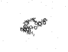 COCCOc1nc(N)c2nc(OC)n(CC3CCN(CCCN(C)CCOc4cccc(CC(=O)OC)c4)CC3)c2n1